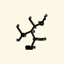 C=C(C(C(C)OI)N(C)C)C(C)(C)C